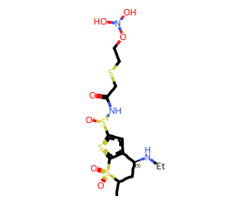 CCN[C@H]1CC(C)S(=O)(=O)c2sc([S+]([O-])NC(=O)CSCCON(O)O)cc21